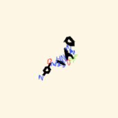 N#Cc1ccc(C(=O)NCCNC(=O)c2cn(-c3ccccc3)nc2C(F)(F)F)cc1